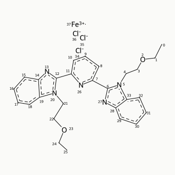 CCOCCn1c(-c2cccc(-c3nc4ccccc4n3CCOCC)n2)nc2ccccc21.[Cl-].[Cl-].[Cl-].[Fe+3]